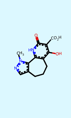 Cn1ncc2c1-c1[nH]c(=O)c(C(=O)O)c(O)c1CCC2